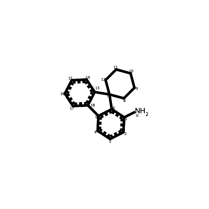 Nc1cccc2c1C1(CCCCC1)c1ccccc1-2